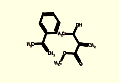 C=C(C(=O)OC)C(C)O.C=C(C)c1ccccc1